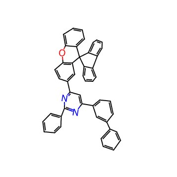 c1ccc(-c2cccc(-c3cc(-c4ccc5c(c4)C4(c6ccccc6O5)c5ccccc5-c5ccccc54)nc(-c4ccccc4)n3)c2)cc1